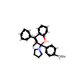 COc1ccc(C2(N3CCCC3)Oc3ccccc3C(c3ccccc3)=C2C)cc1